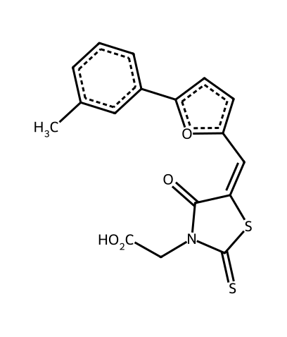 Cc1cccc(-c2ccc(C=C3SC(=S)N(CC(=O)O)C3=O)o2)c1